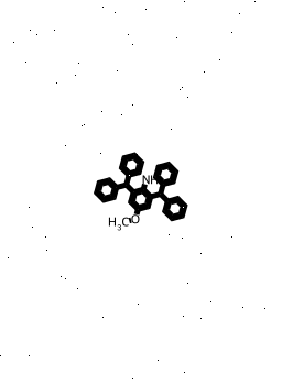 COc1cc(C(c2ccccc2)c2ccccc2)c(N)c(C(c2ccccc2)c2ccccc2)c1